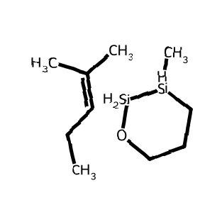 CCC=C(C)C.C[SiH]1CCCO[SiH2]1